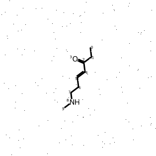 CCC(=O)/C=C/CCNC